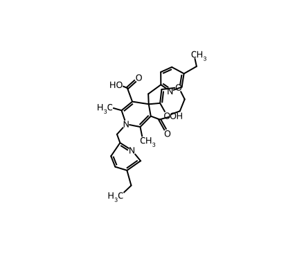 CCc1ccc(CN2C(C)=C(C(=O)O)C(Cc3ccc(CC)cn3)(C3=COCCO3)C(C(=O)O)=C2C)nc1